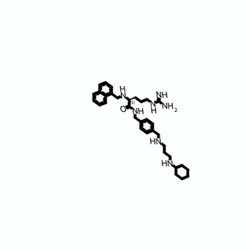 N=C(N)NCCC[C@H](NCc1cccc2ccccc12)C(=O)NCc1ccc(CNCCCNC2CCCCC2)cc1